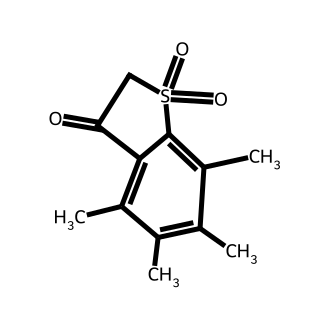 Cc1c(C)c(C)c2c(c1C)C(=O)CS2(=O)=O